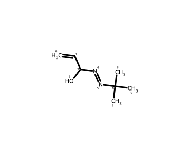 C=CC(O)N=NC(C)(C)C